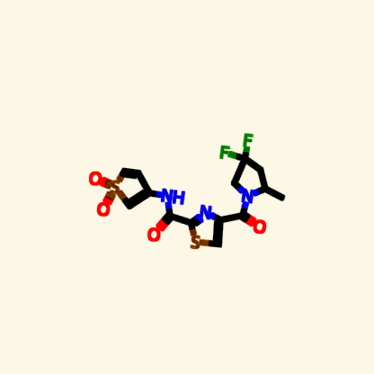 CC1CC(F)(F)CN1C(=O)c1csc(C(=O)NC2=CS(=O)(=O)C=C2)n1